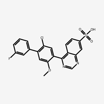 COc1cc(-c2cccc(F)c2)c(Cl)cc1-c1ncnc2cc(S(=O)(=O)O)ccc12